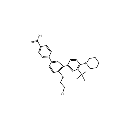 CC(C)(C)c1cc(-c2cc(-c3ccc(C(=O)O)cc3)ccc2OCCO)ccc1N1CCCCC1